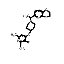 Cc1cc(OC2CCN(C(C)c3ccc4c(n3)OCCO4)CC2)c(F)c(C)n1